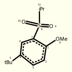 COc1ccc(C(C)(C)C)cc1S(=O)(=O)C(C)C